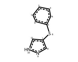 [c]1ccccc1Sc1cn[nH]c1